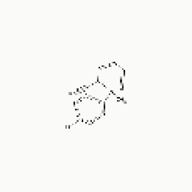 C#CC1C=CC=CC1(C)c1ccc(CC)cc1